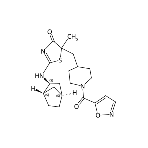 CC1(CC2CCN(C(=O)c3ccno3)CC2)SC(N[C@H]2C[C@H]3CC[C@H]2C3)=NC1=O